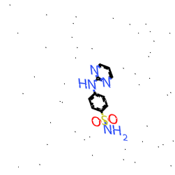 NS(=O)(=O)c1ccc(Nc2ncccn2)cc1